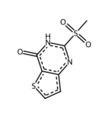 CS(=O)(=O)c1nc2ccsc2c(=O)[nH]1